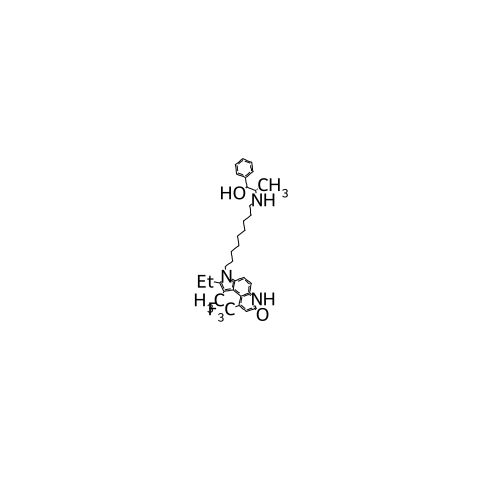 CCc1c(C)c2c3c(C(F)(F)F)cc(=O)[nH]c3ccc2n1CCCCCCCCCN[C@@H](C)[C@@H](O)c1ccccc1